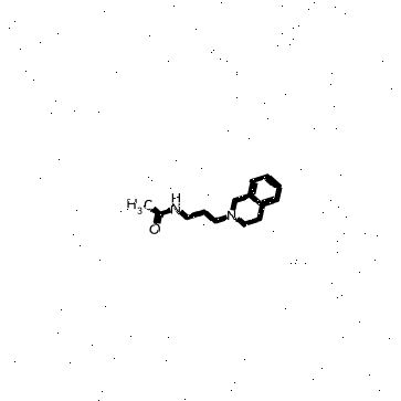 CC(=O)NCCCN1CCc2ccccc2C1